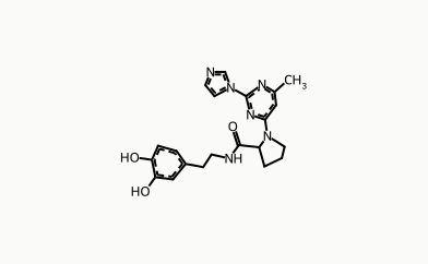 Cc1cc(N2CCCC2C(=O)NCCc2ccc(O)c(O)c2)nc(-n2ccnc2)n1